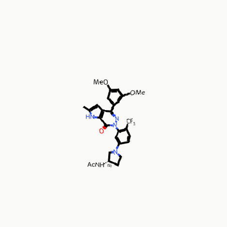 COc1cc(OC)cc(-c2nn(-c3cc(N4CC[C@H](NC(C)=O)C4)ccc3C(F)(F)F)c(=O)c3[nH]c(C)cc23)c1